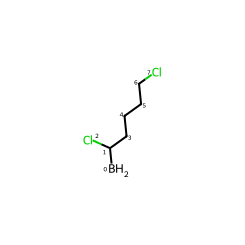 BC(Cl)CCCCCl